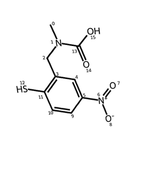 CN(Cc1cc([N+](=O)[O-])ccc1S)C(=O)O